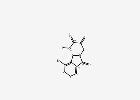 C=C(CN1CC2=C(Br)CCC=C2C1=C)C(=O)OI